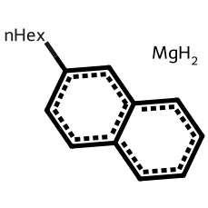 [CH2]CCCCCc1ccc2ccccc2c1.[MgH2]